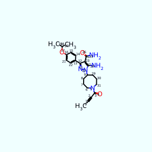 CC#CC(=O)N1CCCC(n2nc(-c3ccc(OC(C)C)cc3)c(C(N)=O)c2N)CCC1